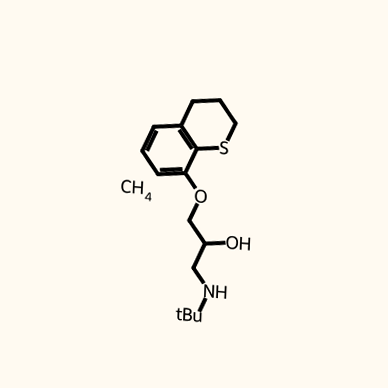 C.CC(C)(C)NCC(O)COc1cccc2c1SCCC2